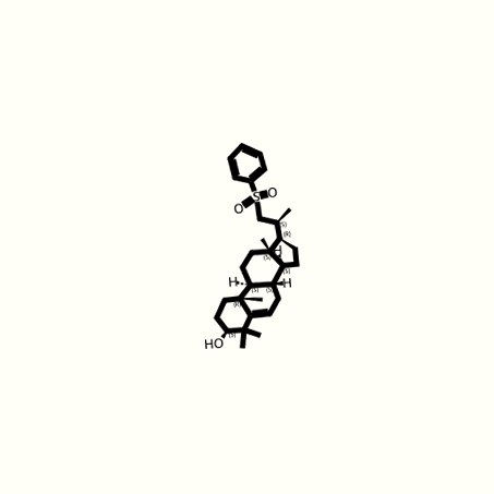 C[C@H](CS(=O)(=O)c1ccccc1)[C@H]1CC[C@H]2[C@@H]3CC=C4C(C)(C)[C@@H](O)CC[C@]4(C)[C@H]3CC[C@]12C